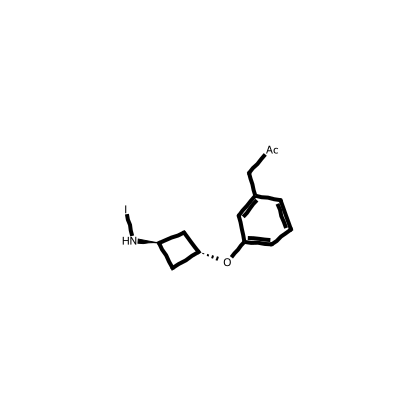 CC(=O)Cc1cccc(O[C@H]2C[C@H](NI)C2)c1